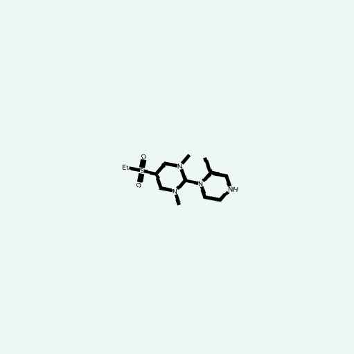 CCS(=O)(=O)C1CN(C)C(N2CCNCC2C)N(C)C1